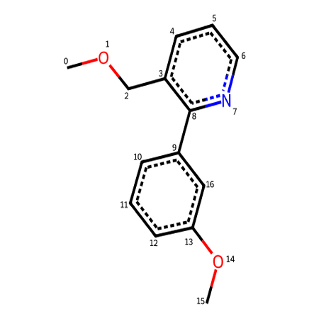 COCc1cccnc1-c1cccc(OC)c1